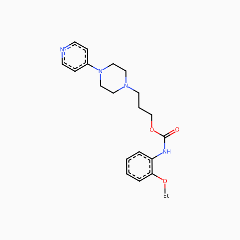 CCOc1ccccc1NC(=O)OCCCN1CCN(c2ccncc2)CC1